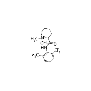 C[N+]1(C)CCCCC1C(=O)Nc1c(C(F)(F)F)cccc1C(F)(F)F